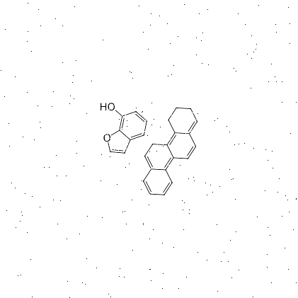 C1=c2ccc3c(c2CCC1)CC=c1ccccc1=3.Oc1cccc2ccoc12